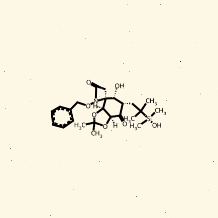 CC1(C)O[C@@H]2C(=O)[C@@H](CC(C)(C)[Si](C)(C)O)[C@@H](O)[C@@]3(CC(=O)N3OCc3ccccc3)[C@@H]2O1